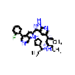 C=C/C(=C\C(=C/C)c1cnc2[nH]nc(-c3cc4c(-c5ccccc5F)cncc4[nH]3)c2c1)NC(=C)C1CCCC1